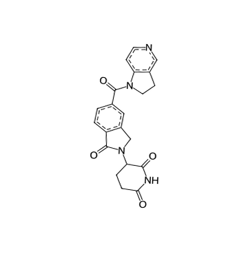 O=C1CCC(N2Cc3cc(C(=O)N4CCc5cnccc54)ccc3C2=O)C(=O)N1